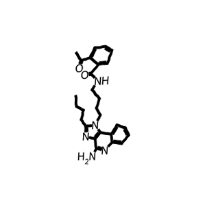 CCCCc1nc2c(N)nc3ccccc3c2n1CCCCNC(=O)c1ccccc1C(C)=O